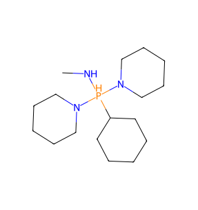 CN[PH](C1CCCCC1)(N1CCCCC1)N1CCCCC1